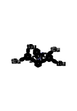 C=Cc1ccccc1C(=C/O)/N=N/c1c(C#Cc2cc(C#CC(C)(C)C)cc(C#CC(C)(C)C)c2)cccc1C#Cc1cc(C#CC(C)(C)C)cc(C=CC(C)(C)C)c1